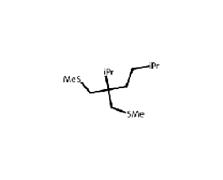 CSCC(CCC(C)C)(CSC)C(C)C